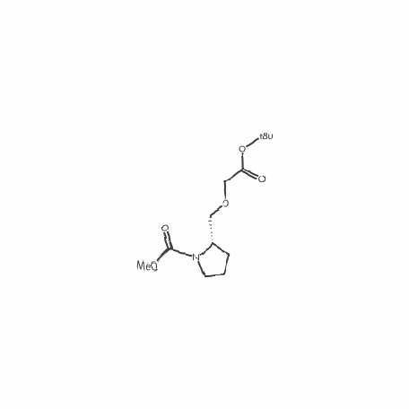 COC(=O)N1CCC[C@H]1COCC(=O)OC(C)(C)C